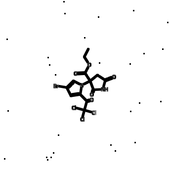 CCOC(=O)C1(n2cc(Br)cc2C(=O)C(Cl)(Cl)Cl)CC(=O)NC1=O